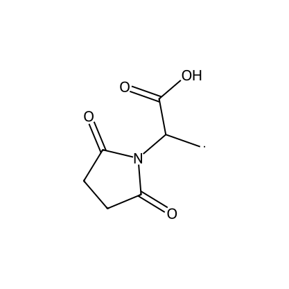 [CH2]C(C(=O)O)N1C(=O)CCC1=O